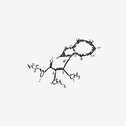 COC(=O)C(C)=C(C)c1ccc2cccccc1-2